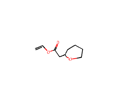 C=COC(=O)CC1CCCCO1